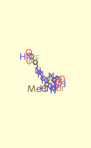 CCc1cc(Nc2ncc(Br)c(Nc3ccc(N(C)C)c4ccn(S(C)(=O)=O)c34)n2)c(OC)cc1N1CCC(N2CCN(CCc3cc(F)c(C4CCC(=O)NC4=O)c(F)c3)CC2)CC1